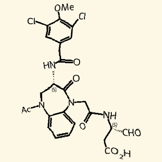 COc1c(Cl)cc(C(=O)N[C@H]2CN(C(C)=O)c3ccccc3N(CC(=O)N[C@H](C=O)CC(=O)O)C2=O)cc1Cl